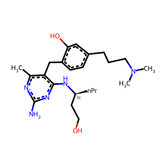 CCC[C@@H](CCO)Nc1nc(N)nc(C)c1Cc1ccc(CCCN(C)C)cc1O